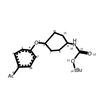 CC(=O)c1ccc(OC2CCC(NC(=O)OC(C)(C)C)CC2)cc1